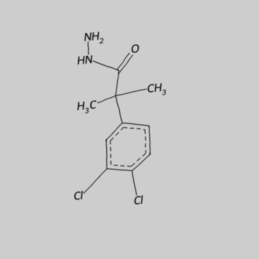 CC(C)(C(=O)NN)c1ccc(Cl)c(Cl)c1